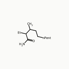 CCCCCCCC(C)C(CC)C(N)=O